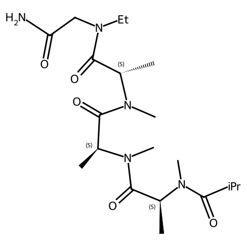 CCN(CC(N)=O)C(=O)[C@H](C)N(C)C(=O)[C@H](C)N(C)C(=O)[C@H](C)N(C)C(=O)C(C)C